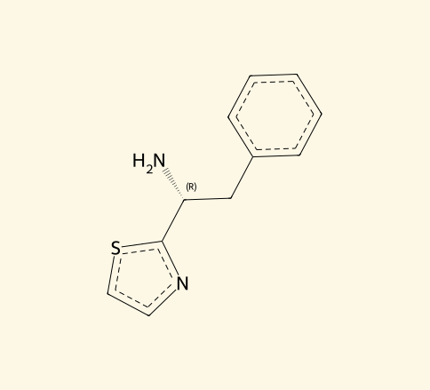 N[C@H](Cc1ccccc1)c1nccs1